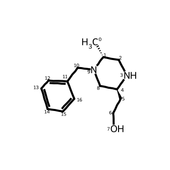 C[C@@H]1CN[C@@H](CCO)CN1Cc1ccccc1